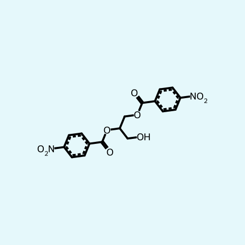 O=C(OCC(CO)OC(=O)c1ccc([N+](=O)[O-])cc1)c1ccc([N+](=O)[O-])cc1